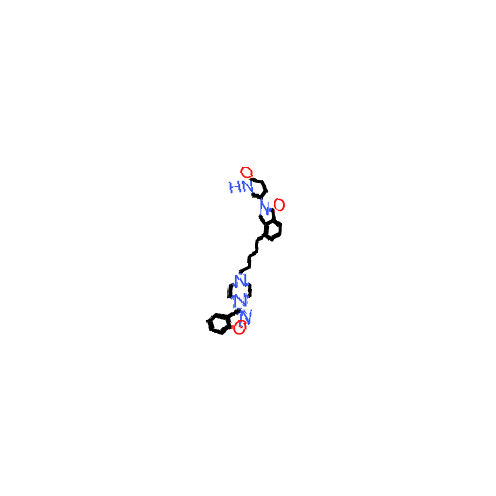 O=C1CCC(N2Cc3c(CCCCCN4CCN(c5noc6ccccc56)CC4)cccc3C2=O)CN1